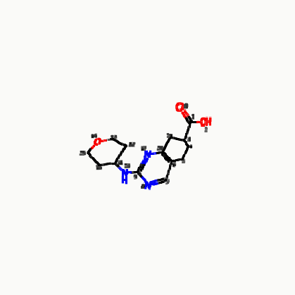 O=C(O)C1CCc2cnc(NC3CCOCC3)nc2C1